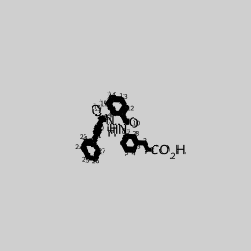 O=C(O)CCc1cccc(NC(=O)c2ccccc2NC(=O)C#Cc2ccccc2)c1